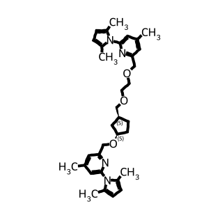 Cc1cc(COCCOC[C@H]2CC[C@H](OCc3cc(C)cc(-n4c(C)ccc4C)n3)C2)nc(-n2c(C)ccc2C)c1